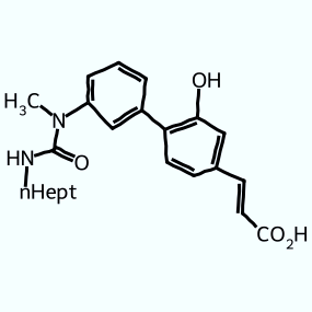 CCCCCCCNC(=O)N(C)c1cccc(-c2ccc(C=CC(=O)O)cc2O)c1